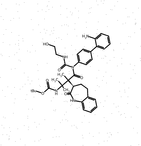 CC(C)(C)OC(=O)NC(C)(C)C(C)(C(=O)N(C(=O)NCCO)c1ccc(-c2ccccc2N)cc1)[C@H]1CCc2ccccc2NC1=O